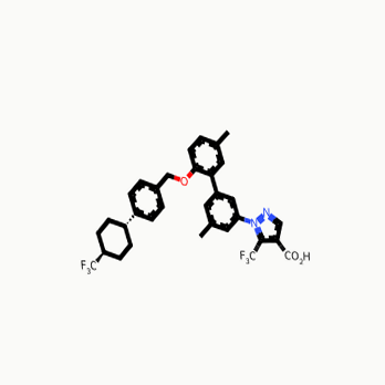 Cc1cc(-c2cc(C)ccc2OCc2ccc([C@H]3CC[C@H](C(F)(F)F)CC3)cc2)cc(-n2ncc(C(=O)O)c2C(F)(F)F)c1